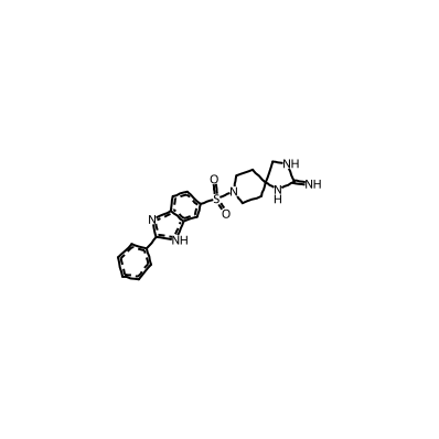 N=C1NCC2(CCN(S(=O)(=O)c3ccc4nc(-c5ccccc5)[nH]c4c3)CC2)N1